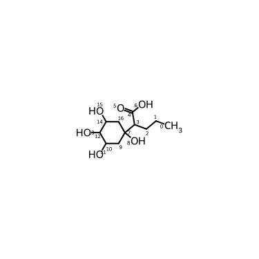 CCCC(C(=O)O)C1(O)CC(O)C(O)C(O)C1